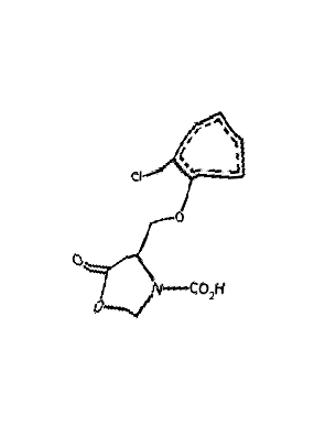 O=C1OCN(C(=O)O)C1COc1ccccc1Cl